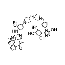 CCOc1cc(N2CCC(CN3CCN(Cc4ccc(-n5c(O)nnc5-c5cc(C(C)C)c(O)cc5O)cc4)CC3)CC2)ccc1Nc1ncc2c(n1)N(S(C)(=O)=O)c1ccccc1C(=O)N2C